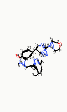 Cc1ccc(C)c(Cn2c3cc(-c4cnc(N5CCOCC5)nc4)ccc3c(=O)n2C)n1